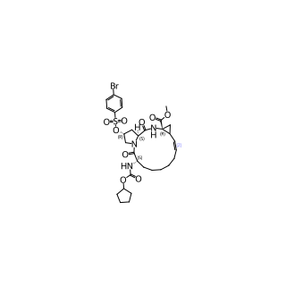 COC(=O)[C@@]12CC1/C=C\CCCCC[C@H](NC(=O)OC1CCCC1)C(=O)N1C[C@H](OS(=O)(=O)c3ccc(Br)cc3)C[C@H]1C(=O)N2